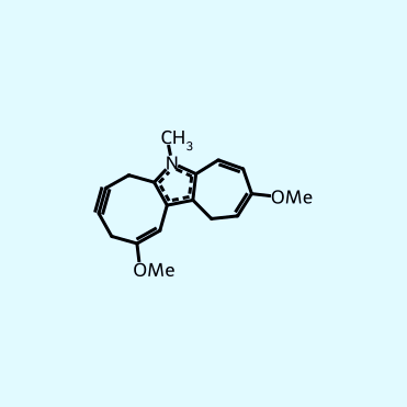 COC1=CCc2c3c(n(C)c2C=C1)CC#CC/C(OC)=C\3